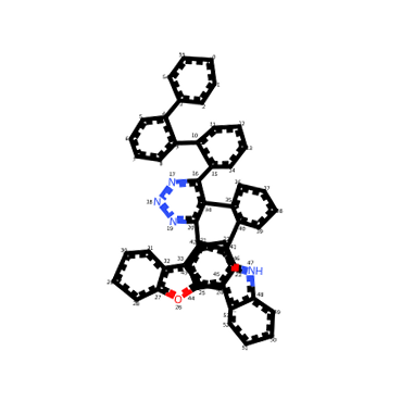 c1ccc(-c2ccccc2-c2ccccc2-c2nnnc(-c3cccc4oc5ccccc5c34)c2-c2ccccc2-c2cccc3c2[nH]c2ccccc23)cc1